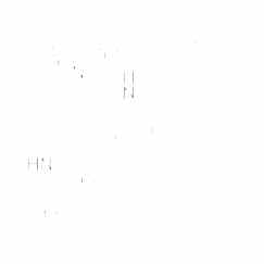 O=C(Nc1cc2oc(=O)[nH]c2cc1[N+](=O)[O-])c1ccccc1